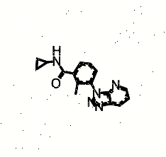 Cc1c(C(=O)NC2CC2)cccc1-n1nnc2cccnc21